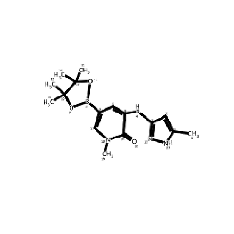 Cc1cc(Nc2cc(B3OC(C)(C)C(C)(C)O3)cn(C)c2=O)n[nH]1